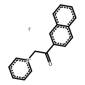 O=C(C[n+]1ccccc1)c1ccc2ccccc2c1.[I-]